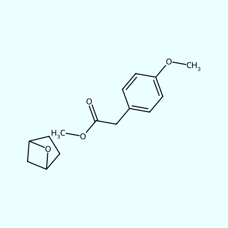 C1CC2CC1O2.COC(=O)Cc1ccc(OC)cc1